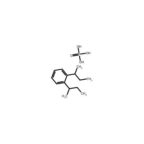 CCC(C)c1ccccc1C(C)CC.O=P(O)(O)O